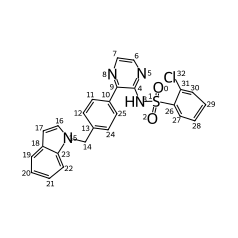 O=S(=O)(Nc1nccnc1-c1ccc(Cn2ccc3ccccc32)cc1)c1ccccc1Cl